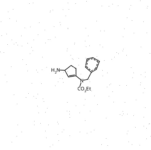 CCOC(=O)N(Cc1ccccc1)C1=CC(N)CC1